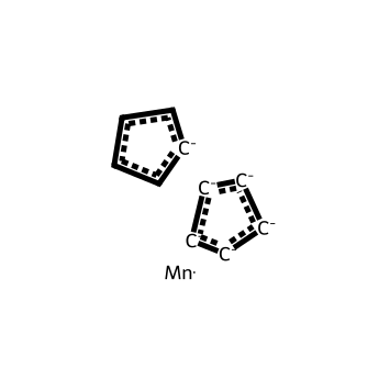 [Mn].[cH-]1[cH-][cH-][cH-][cH-]1.c1cc[cH-]c1